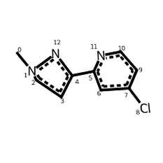 Cn1ccc(-c2cc(Cl)ccn2)n1